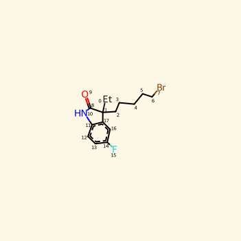 CCC1(CCCCCBr)C(=O)Nc2ccc(F)cc21